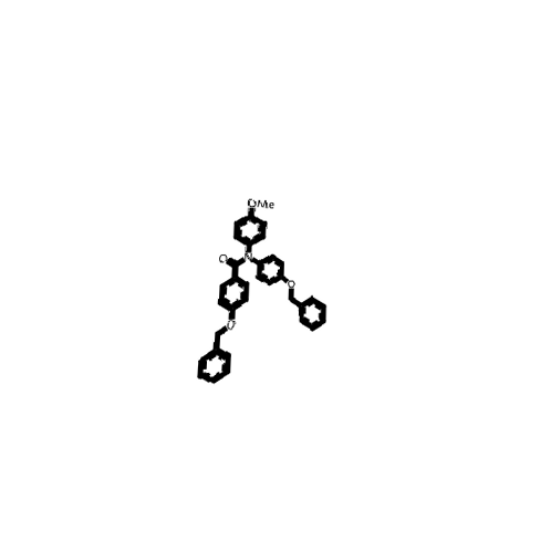 COc1ccc(N(C(=O)c2ccc(OCc3ccccc3)cc2)c2ccc(OCc3ccccc3)cc2)cc1